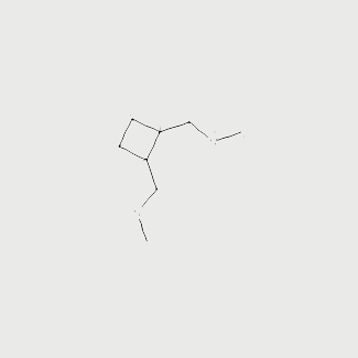 CNCC1CCC1CNC